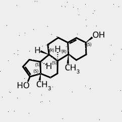 C[C@]12CC[C@H](O)C=C1CC[C@@H]1[C@@H]2CC[C@]2(C)C(O)=CC[C@@H]12